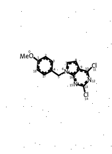 COc1ccc(Cn2ccc3c(Cl)nc(Cl)nc32)cc1